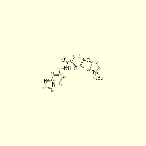 CC(C)(C)N1CC[C@H](Oc2ccc(C(=O)NCc3ccn4ccnc4c3)cc2)C1